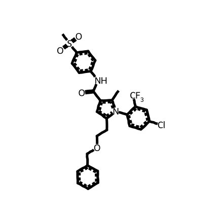 Cc1c(C(=O)Nc2ccc(S(C)(=O)=O)cc2)cc(CCOCc2ccccc2)n1-c1ccc(Cl)cc1C(F)(F)F